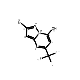 Oc1cc(C(F)(F)F)nc2cc(Br)nn12